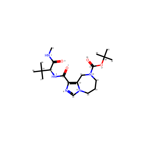 CNC(=O)[C@@H](NC(=O)c1ncn2c1CN(C(=O)OC(C)(C)C)CCC2)C(C)(C)C